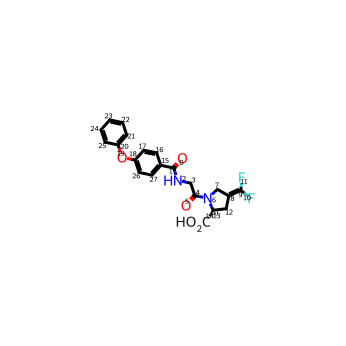 O=C(NCC(=O)N1CC(=C(F)F)C[C@H]1C(=O)O)c1ccc(Oc2ccccc2)cc1